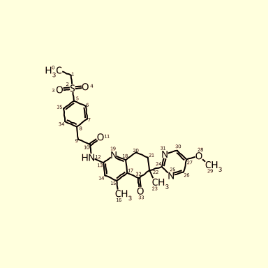 CCS(=O)(=O)c1ccc(CC(=O)Nc2cc(C)c3c(n2)CCC(C)(c2ncc(OC)cn2)C3=O)cc1